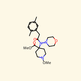 COC(=O)C1(N(C(=O)Cc2cc(C)ccc2C)N2CCOCC2)CCN(OC)CC1